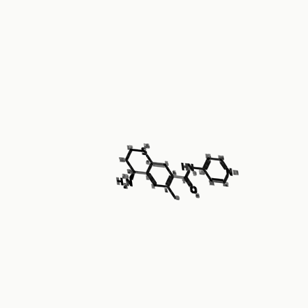 Cc1cc2c(cc1C(=O)Nc1ccncc1)SCC[C@@H]2N